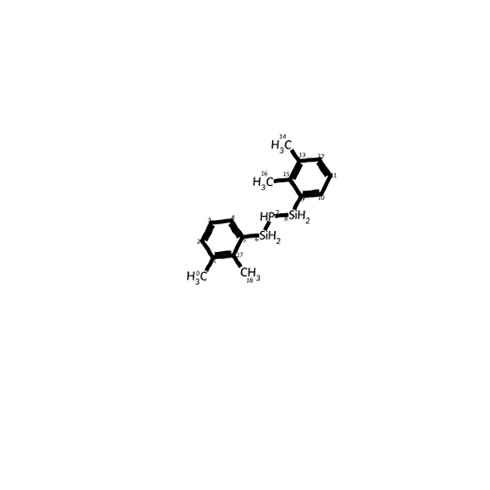 Cc1cccc([SiH2]P[SiH2]c2cccc(C)c2C)c1C